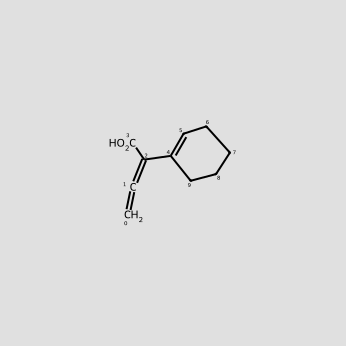 C=C=C(C(=O)O)C1=CCCCC1